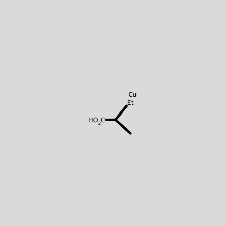 CCC(C)C(=O)O.[Cu]